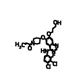 C=CC(=O)N1CCC(Oc2cc3c(Nc4ccc(Cl)c(Cl)c4F)ncnc3cc2OCCCO)CC1